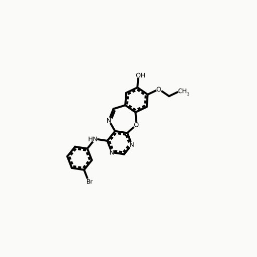 CCOc1cc2c(cc1O)C=Nc1c(Nc3cccc(Br)c3)ncnc1O2